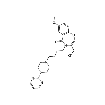 COc1ccc2c(c1)C(=O)N(CCCCN1CCC(c3ncccn3)CC1)C(CCl)=CO2